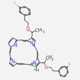 [2H]C1=C(C(C)OCCc2cccc(F)c2)C2=CC3=NC(=CC4=NC(=CC5=NC(=CC1=N2)C=C5)C=C4)C(C(C)OCCc1cccc(F)c1)=C3